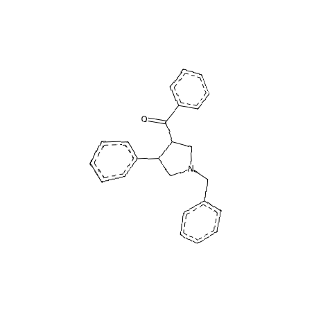 O=C(c1ccccc1)C1CN(Cc2ccccc2)CC1c1ccccc1